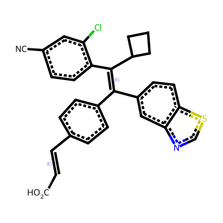 N#Cc1ccc(/C(=C(\c2ccc(/C=C/C(=O)O)cc2)c2ccc3scnc3c2)C2CCC2)c(Cl)c1